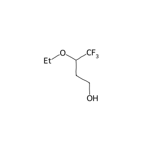 CCOC(CCO)C(F)(F)F